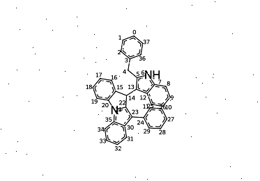 c1ccc(Cc2[nH]c3ccccc3c2C2c3ccccc3-n3c2c(-c2ccccc2)c2ccccc23)cc1